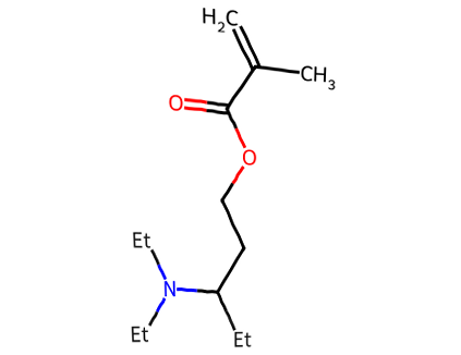 C=C(C)C(=O)OCCC(CC)N(CC)CC